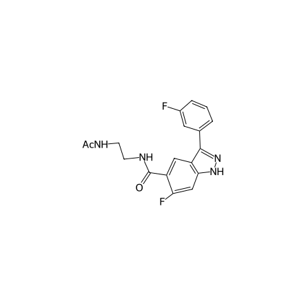 CC(=O)NCCNC(=O)c1cc2c(-c3cccc(F)c3)n[nH]c2cc1F